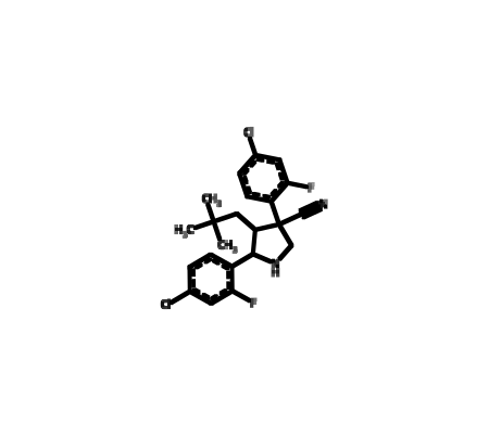 CC(C)(C)CC1C(c2ccc(Cl)cc2F)NCC1(C#N)c1ccc(Cl)cc1F